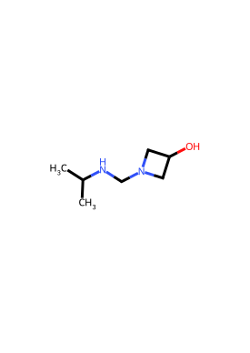 CC(C)NCN1CC(O)C1